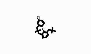 CC(C)(C)Cc1cccc(CC(C)(C)Cc2cccc(Cl)c2)c1Cl